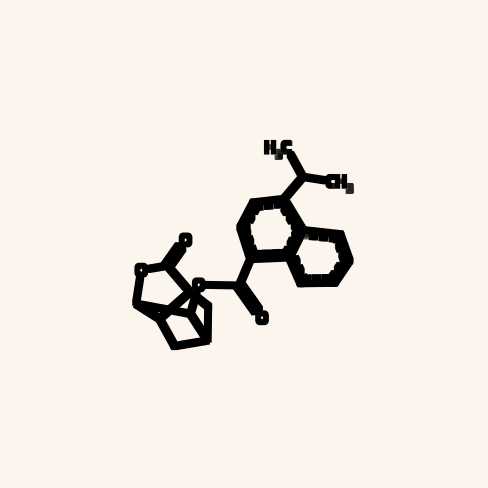 CC(C)c1ccc(C(=O)OC2C3CC4C(=O)OC2C4C3)c2ccccc12